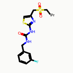 CC(C)CS(=O)(=O)Cc1csc(NC(=O)NCc2cccc(F)c2)n1